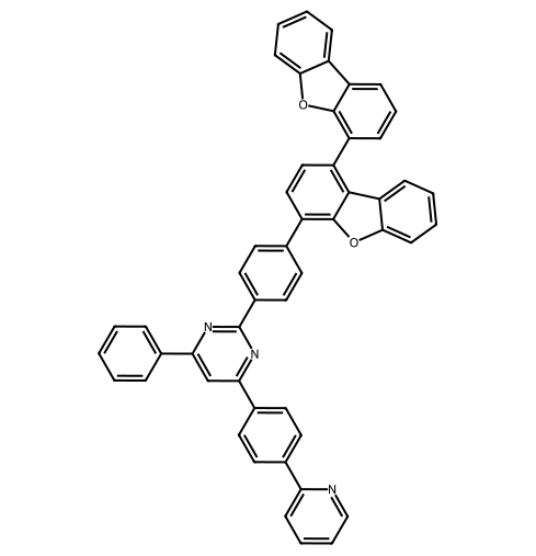 c1ccc(-c2cc(-c3ccc(-c4ccccn4)cc3)nc(-c3ccc(-c4ccc(-c5cccc6c5oc5ccccc56)c5c4oc4ccccc45)cc3)n2)cc1